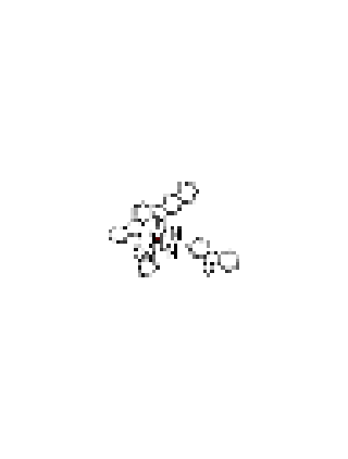 c1ccc(-c2nc(-c3ccc4c(c3)oc3ccccc34)nc(-n3c4cc5ccccc5cc4c4ccc5c(c43)C3(c4ccccc4-5)C4CC5CC(C4)CC3C5)n2)cc1